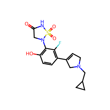 O=C1CN(c2c(O)ccc(C3=CCN(CC4CC4)C3)c2F)S(=O)(=O)N1